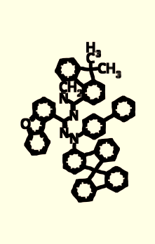 C=N/C(=N\C(=N/N(c1ccc(-c2ccccc2)cc1)c1cccc2c1-c1ccccc1C21c2ccccc2-c2ccccc21)c1cccc2oc3ccccc3c12)c1cccc2c1-c1ccccc1C2(C)C